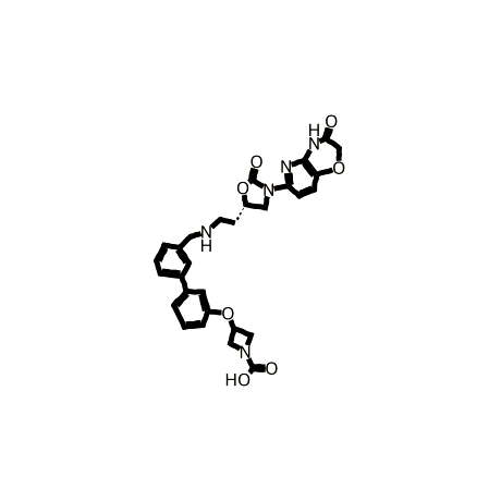 O=C1COc2ccc(N3C[C@H](CCNCc4cccc(-c5cccc(OC6CN(C(=O)O)C6)c5)c4)OC3=O)nc2N1